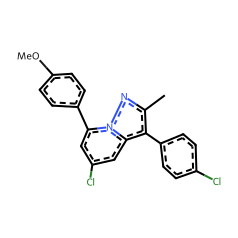 COc1ccc(-c2cc(Cl)cc3c(-c4ccc(Cl)cc4)c(C)nn23)cc1